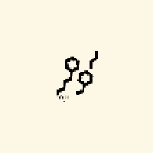 C=CC=C.C=Cc1ccccc1.O=C(O)C=CC=Cc1ccccc1